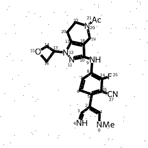 CN/C=C(\C=N)c1ccc(Nc2nn(C3COC3)c3c2CN(C(C)=O)CC3)c(F)c1C#N